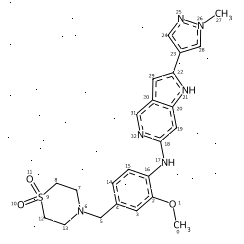 COc1cc(CN2CCS(=O)(=O)CC2)ccc1Nc1cc2[nH]c(-c3cnn(C)c3)cc2cn1